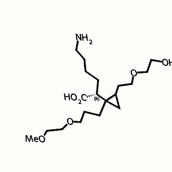 COCCOCCCC1([C@@H](CCCCN)C(=O)O)CC1CCOCCO